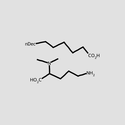 CCCCCCCCCCCCCCCC(=O)O.CN(C)C(CCCN)C(=O)O